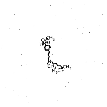 CCN(CCC=Cc1ccc(NS(C)(=O)=O)cc1)CCCCCC(C)(C)F